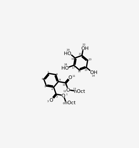 CCCCCCCCOC(=O)c1ccccc1C(=O)OCCCCCCCC.Oc1cc(O)c(O)c(O)c1